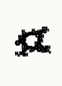 CC(=O)NCC(=O)NC1CC(=O)NCCCCC(C(N)=O)NC(=O)[C@H](Cc2c[nH]c3ccccc23)NC(=O)[C@H](CCCNC(=N)N)NC(=O)C(Cc2ccccc2)NC(=O)[C@H](CCCNC(=N)N)NC1=O